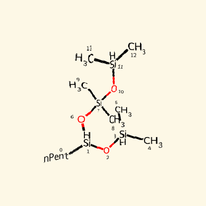 CCCCC[SiH](O[SiH](C)C)O[Si](C)(C)O[SiH](C)C